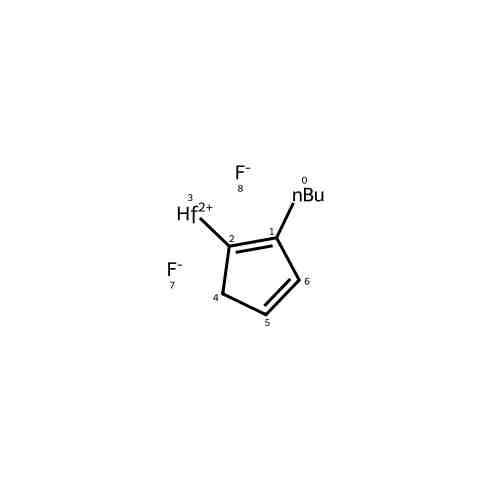 CCCCC1=[C]([Hf+2])CC=C1.[F-].[F-]